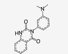 CN(C)c1cccc(-n2c(=O)[nH]c3ccccc3c2=O)c1